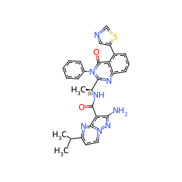 CC(C)c1ccn2nc(N)c(C(=O)N[C@@H](C)c3nc4cccc(-c5cncs5)c4c(=O)n3-c3ccccc3)c2n1